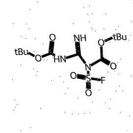 CC(C)(C)OC(=O)NC(=N)N(C(=O)OC(C)(C)C)S(=O)(=O)F